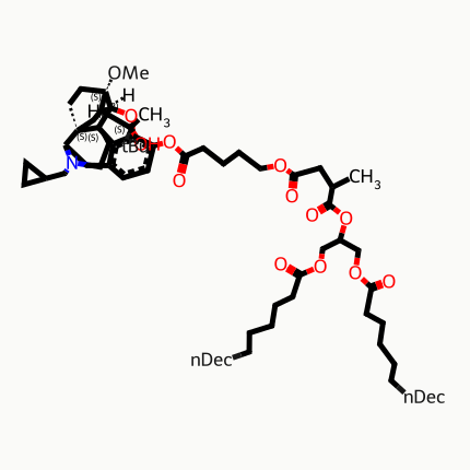 CCCCCCCCCCCCCCCC(=O)OCC(COC(=O)CCCCCCCCCCCCCCC)OC(=O)C(C)CC(=O)OCCCCC(=O)Oc1ccc2c3c1O[C@H]1[C@]4(OC)CC[C@@]5(C[C@@H]4[C@](C)(O)C(C)(C)C)C(C2)N(CC2CC2)CC[C@]315